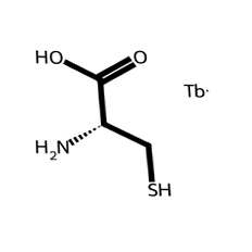 N[C@@H](CS)C(=O)O.[Tb]